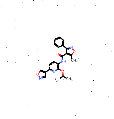 Cc1onc(-c2ccccc2)c1C(=O)Nc1ccc(-c2cnoc2)nc1OC(C)C